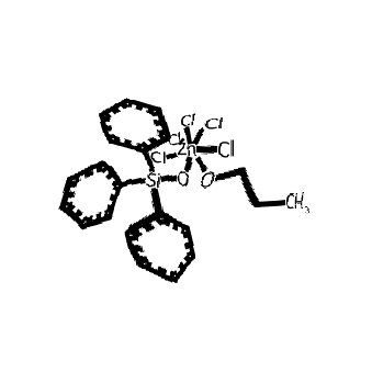 CCC[O][Zn]([Cl])([Cl])([Cl])([Cl])([Cl])[O][Si](c1ccccc1)(c1ccccc1)c1ccccc1